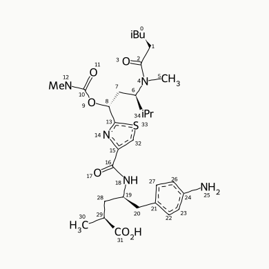 CC[C@H](C)CC(=O)N(C)[C@H](C[C@@H](OC(=O)NC)c1nc(C(=O)N[C@@H](Cc2ccc(N)cc2)C[C@H](C)C(=O)O)cs1)C(C)C